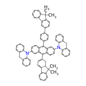 CC1(C)c2ccccc2-c2cc(-c3ccc(-c4c5ccc(N6c7ccccc7Cc7ccccc76)cc5c(C5=CC=C6c7ccccc7C(C)(C)C6C5)c5ccc(N6c7ccccc7Cc7ccccc76)cc45)cc3)ccc21